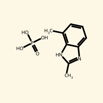 Cc1nc2cccc(C)c2[nH]1.O=P(O)(O)O